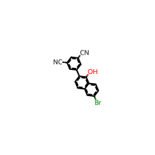 N#Cc1cc(C#N)cc(-c2ccc3cc(Br)ccc3c2O)c1